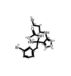 O=C1NC(Cc2cccc(Br)c2)(c2nonc2NCCCBr)NO1